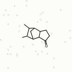 CC1C(C)C2CC1C1CCC(=O)C21